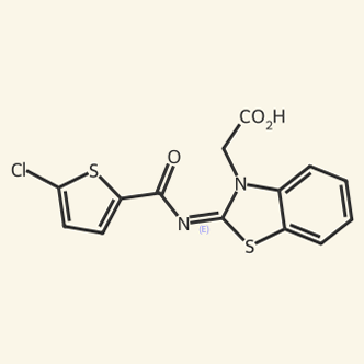 O=C(O)Cn1/c(=N\C(=O)c2ccc(Cl)s2)sc2ccccc21